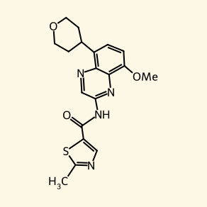 COc1ccc(C2CCOCC2)c2ncc(NC(=O)c3cnc(C)s3)nc12